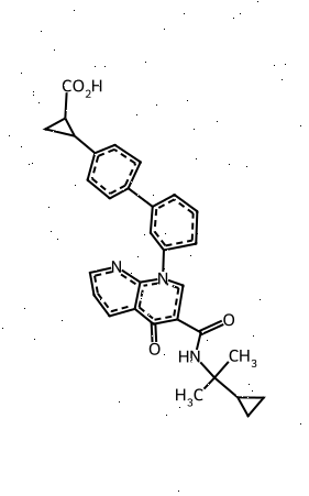 CC(C)(NC(=O)c1cn(-c2cccc(-c3ccc(C4CC4C(=O)O)cc3)c2)c2ncccc2c1=O)C1CC1